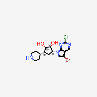 O[C@@H]1[C@H](O)[C@@H](C2CCNCC2)C[C@H]1n1cc(Br)c2cnc(Cl)nc21